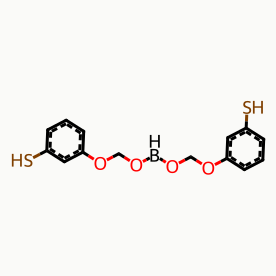 Sc1cccc(OCOBOCOc2cccc(S)c2)c1